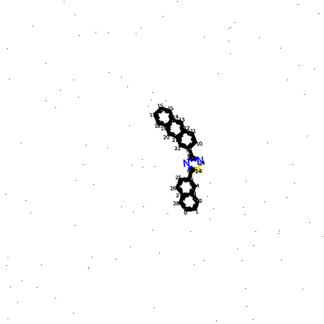 c1ccc2cc(-c3nc(-c4ccc5cc6ccccc6cc5c4)ns3)ccc2c1